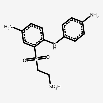 Nc1ccc(Nc2ccc(N)cc2S(=O)(=O)CCS(=O)(=O)O)cc1